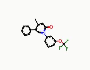 Cc1cc(=O)n(-c2cccc(OC(F)(F)F)c2)cc1-c1ccccc1